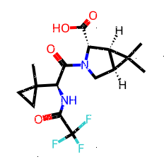 CC1([C@H](NC(=O)C(F)(F)F)C(=O)N2C[C@H]3[C@@H]([C@H]2C(=O)O)C3(C)C)CC1